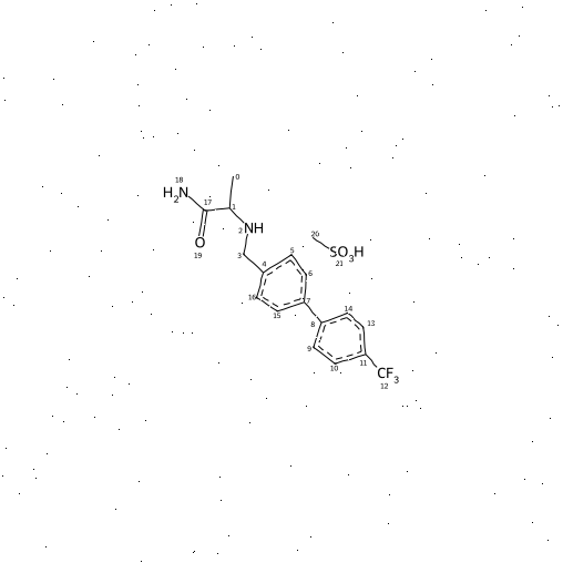 CC(NCc1ccc(-c2ccc(C(F)(F)F)cc2)cc1)C(N)=O.CS(=O)(=O)O